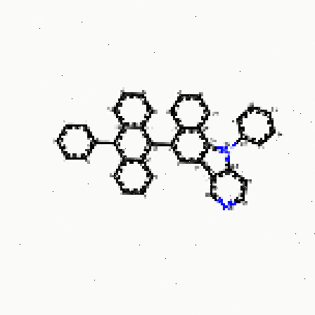 c1ccc(-c2c3ccccc3c(-c3cc4c5cnccc5n(-c5ccccc5)c4c4ccccc34)c3ccccc23)cc1